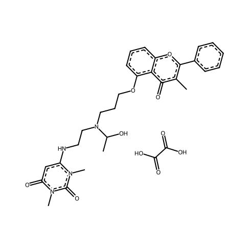 Cc1c(-c2ccccc2)oc2cccc(OCCCN(CCNc3cc(=O)n(C)c(=O)n3C)C(C)O)c2c1=O.O=C(O)C(=O)O